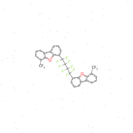 FC(F)(F)c1cccc2c1oc1c(C(F)(F)C(F)(F)C(F)(F)C(F)(F)c3cccc4c3oc3c(C(F)(F)F)cccc34)cccc12